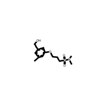 Cc1[c]c(CO)cc(OCCCS(=O)(=O)N(C)C)c1